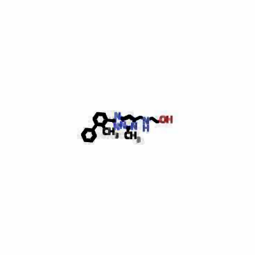 Cc1c(-c2ccccc2)cccc1-c1nc2cc(CNCCO)nc(C)n2n1